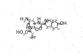 CC(C)C[C@H](NC(=O)[C@@H](CC(N)=O)NC(=O)[C@@H](N)Cc1ccc(O)cc1)C(=O)O